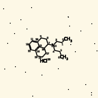 CCCN(CCC)C1CCc2cccc3c2C1CCC3.Cl